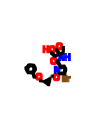 CCC(CC)(NC(=O)c1ccc(Br)c(OC[C@@H]2C[C@H]2COCc2ccccc2)n1)C(=O)O